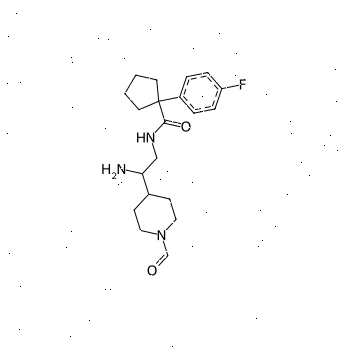 NC(CNC(=O)C1(c2ccc(F)cc2)CCCC1)C1CCN(C=O)CC1